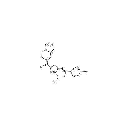 C[C@H]1CN(C(=O)c2cn3nc(-c4ccc(F)cc4)cc(C(F)(F)F)c3n2)CCN1C(=O)O